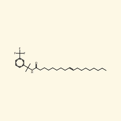 CCCCCCCCC=CCCCCCCCC(=O)NC(C)(C)c1cccc(C(F)(F)F)c1